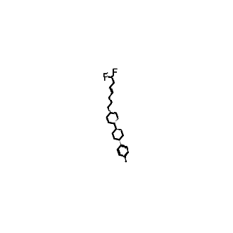 Cc1ccc([C@H]2CC[C@H]([C@H]3CC[C@H](CCCC=CCC(F)F)CC3)CC2)cc1